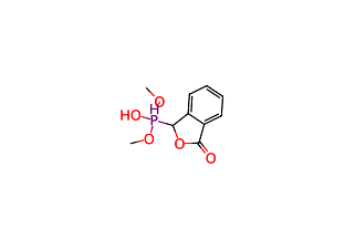 CO[PH](O)(OC)C1OC(=O)c2ccccc21